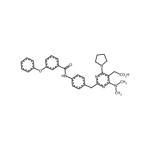 CN(C)c1nc(Cc2ccc(NC(=O)c3cccc(Oc4ccccc4)c3)cc2)nc(N2CCCC2)c1CC(=O)O